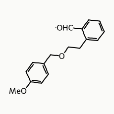 COc1ccc(COCCc2ccccc2[C]=O)cc1